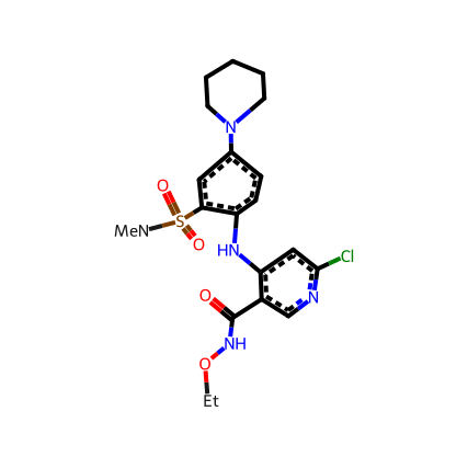 CCONC(=O)c1cnc(Cl)cc1Nc1ccc(N2CCCCC2)cc1S(=O)(=O)NC